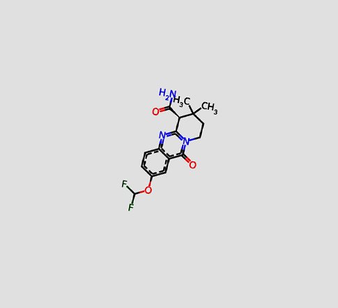 CC1(C)CCn2c(nc3ccc(OC(F)F)cc3c2=O)[C@H]1C(N)=O